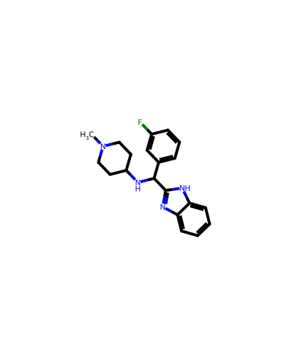 CN1CCC(NC(c2cccc(F)c2)c2nc3ccccc3[nH]2)CC1